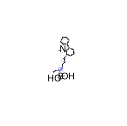 C=C/C(=C\C/C=C/c1cccc2c3ccccc3n(C)c12)B(O)O